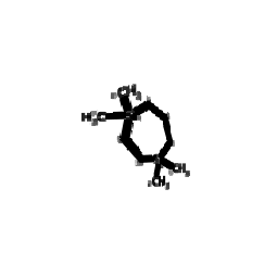 C[Si]1(C)CCC[Si](C)(C)CC1